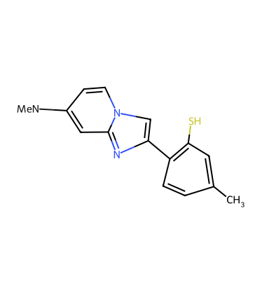 CNc1ccn2cc(-c3ccc(C)cc3S)nc2c1